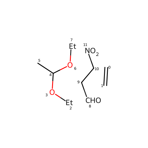 C=C.CCOC(C)OCC.O=CCC[N+](=O)[O-]